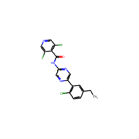 CCc1ccc(Cl)c(-c2cnc(NC(=O)c3c(F)cncc3F)cn2)c1